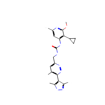 CCOc1nc(C#N)cc(NC(=O)NCc2cc(C)c(-c3c(C(F)(F)F)n[nH]c3C)nn2)c1C1CC1